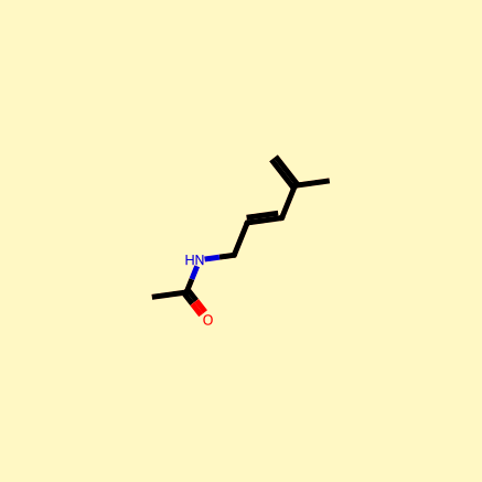 C=C(C)/C=C/CNC(C)=O